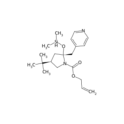 C=CCOC(=O)N1C[C@@H](C(C)(C)C)C[C@]1(Cc1ccncc1)O[SiH](C)C